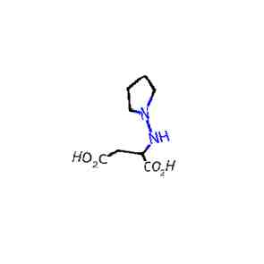 O=C(O)CC(NN1CCCC1)C(=O)O